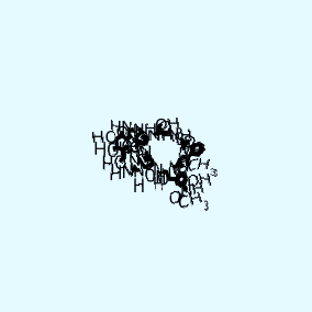 CCC(c1ccccc1)C1NC(=O)CNC(=O)C(CO)NC(=O)C(C(O)C2CNC(=N)N2C2OC(CO)C(O)C(O)C2O)NC(=O)C(C(O)C2CNC(=N)N2)NC(=O)C(Cc2ccc(O)c(NC(C)=O)c2)NC1=O